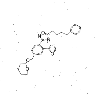 c1ccc(CCCCc2nc(-c3ccc(COC4CCCCO4)cc3-c3ccco3)no2)cc1